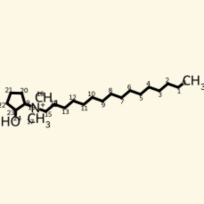 CCCCCCCCCCCCCCCC[N+](C)(C)C1CCCC1O